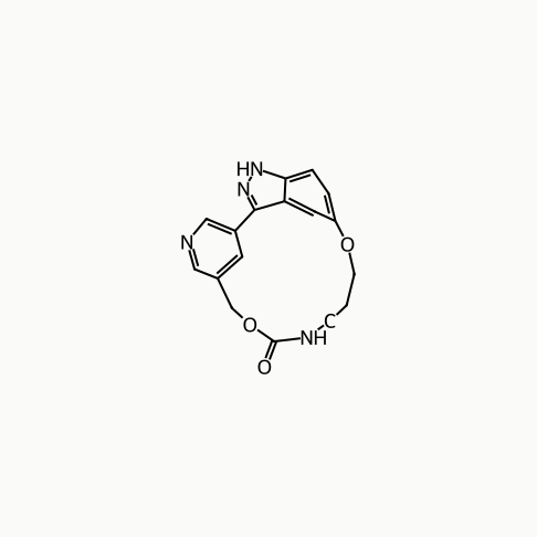 O=C1NCCCOc2ccc3[nH]nc(c3c2)-c2cncc(c2)CO1